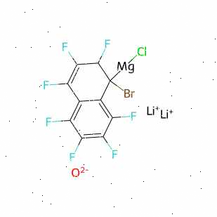 FC1=C(F)C(F)[C](Br)([Mg][Cl])c2c(F)c(F)c(F)c(F)c21.[Li+].[Li+].[O-2]